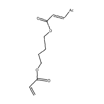 C=CC(=O)OCCCCOC(=O)C=CC(C)=O